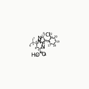 Cc1nn2c(C(C)C)cc(C(=O)O)nc2c1-c1ccccc1Cl